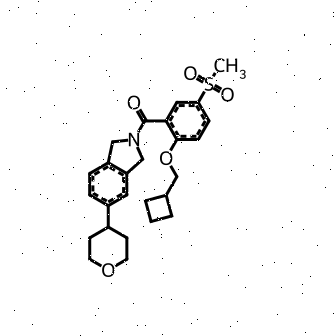 CS(=O)(=O)c1ccc(OCC2CCC2)c(C(=O)N2Cc3ccc(C4CCOCC4)cc3C2)c1